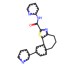 O=C(Nc1ccccn1)c1nc2c(s1)-c1cc(-c3cccnc3)ccc1CCC2